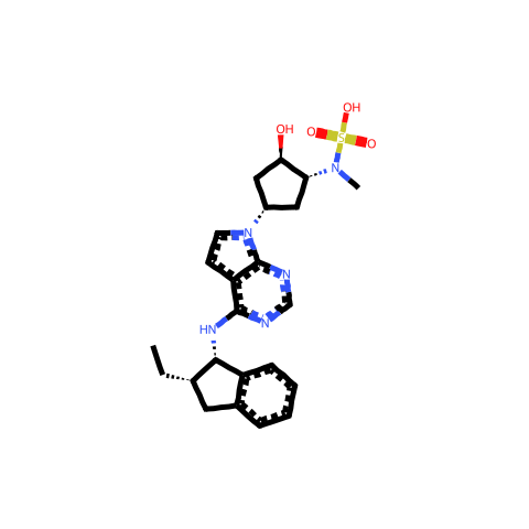 CC[C@H]1Cc2ccccc2[C@H]1Nc1ncnc2c1ccn2[C@@H]1C[C@@H](O)[C@H](N(C)S(=O)(=O)O)C1